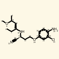 CC/C(=C\C(C)OC)N[C@H](C#N)CCOc1ccc(N)c(Cl)c1